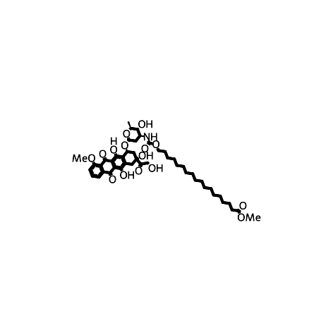 COC(=O)CCCCCCCCCCCCCCCCCOC(=O)N[C@H]1CC(O[C@H]2CC(O)(C(=O)CO)Cc3c(O)c4c(c(O)c32)C(=O)c2c(OC)cccc2C4=O)O[C@@H](C)[C@H]1O